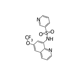 O=S(=O)(Nc1cc(OC(F)(F)F)cc2cccnc12)c1cccnc1